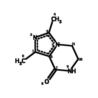 Cc1nc(C)n2c1C(=O)NCC2